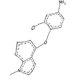 Cn1ccc2c(Oc3ccc(N)cc3Cl)cccc21